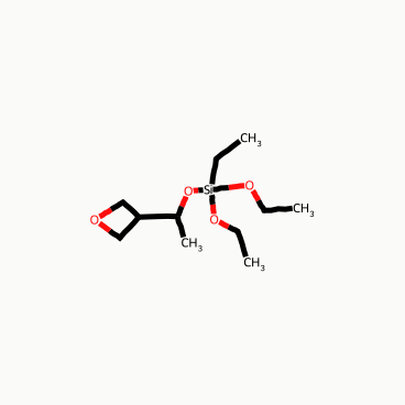 CCO[Si](CC)(OCC)OC(C)C1COC1